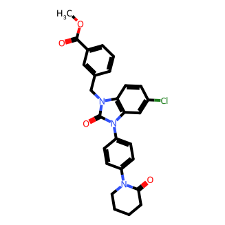 COC(=O)c1cccc(Cn2c(=O)n(-c3ccc(N4CCCCC4=O)cc3)c3cc(Cl)ccc32)c1